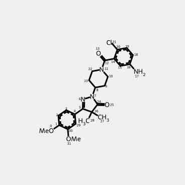 COc1ccc(C2=NN(C3CCN(C(=O)c4cc(N)ccc4Cl)CC3)C(=O)C2(C)C)cc1OC